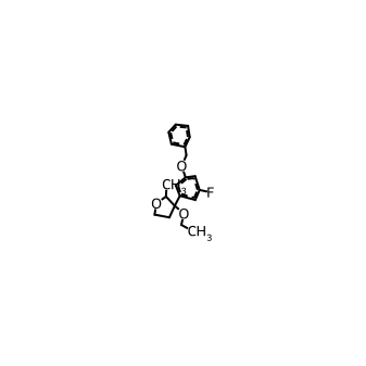 CCOC1(c2cc(F)cc(OCc3ccccc3)c2)CCOC1C